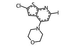 Clc1cc2c(N3CCOCC3)cc(I)nc2s1